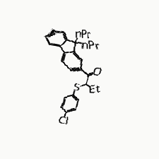 CCCC1(CCC)c2ccccc2-c2ccc(C(=O)C(CC)Sc3ccc(Cl)cc3)cc21